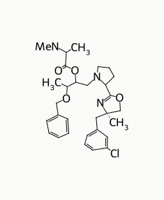 CNC(C)C(=O)OC(CN1CCCC1C1=N[C@](C)(Cc2cccc(Cl)c2)CO1)C(C)OCc1ccccc1